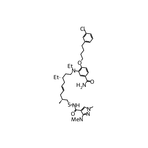 CC[C@@H](C/C=C/C[C@H](C)CSNC(=O)c1cn(C)nc1NC)CCN(CC)c1cc(C(N)=O)ccc1OCCCCc1cccc(Cl)c1